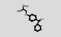 CCCCCC(CCCC)COc1ccc(C(=O)c2ccccc2)cc1